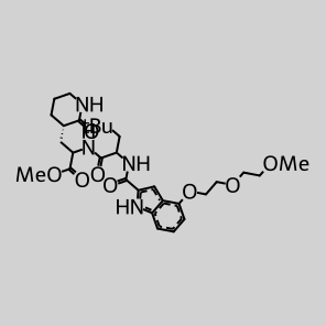 COCCOCCOc1cccc2[nH]c(C(=O)NC(CC(C)(C)C)C(=O)NC(C[C@@H]3CCCNC3=O)C(=O)OC)cc12